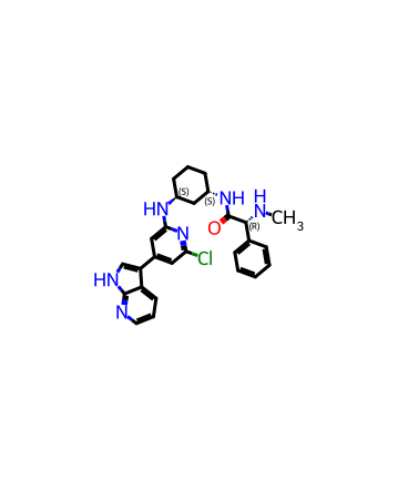 CN[C@@H](C(=O)N[C@H]1CCC[C@H](Nc2cc(-c3c[nH]c4ncccc34)cc(Cl)n2)C1)c1ccccc1